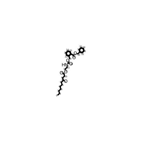 CCCCCCCC(=O)CCC(=O)OCCNC(=O)OCc1ccccc1C(=O)OCc1ccccc1